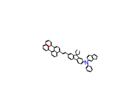 CCC1(CC)c2cc(/C=C/c3ccc(-c4ccccc4)c4c(-c5ccccc5)cccc34)ccc2-c2ccc(N(c3ccccc3)c3ccc4c(c3)CC=C4)cc21